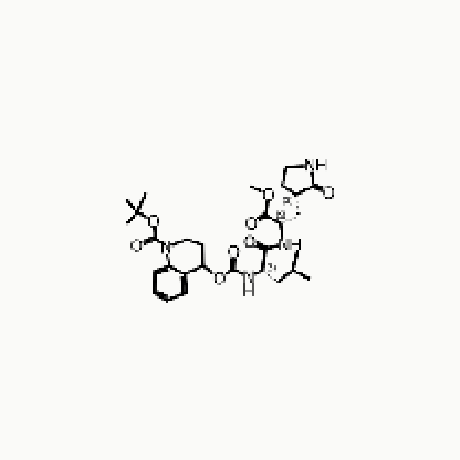 COC(=O)[C@H](C[C@@H]1CCNC1=O)NC(=O)[C@H](CC(C)C)NC(=O)OC1CCN(C(=O)OC(C)(C)C)c2ccccc21